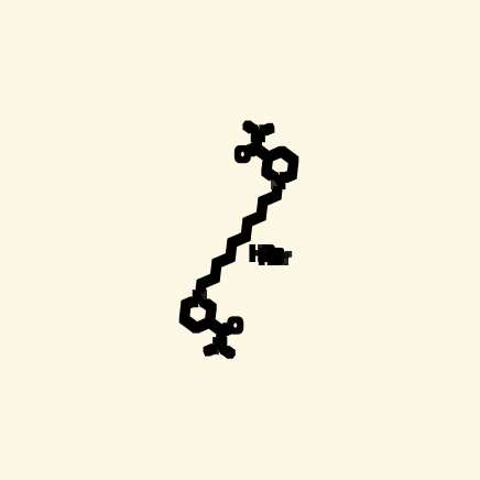 Br.Br.CN(C)C(=O)C1CCCN(CCCCCCCCCCN2CCCC(C(=O)N(C)C)C2)C1